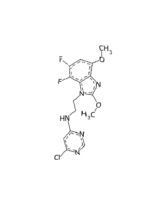 COc1cc(F)c(F)c2c1nc(OC)n2CCNc1cc(Cl)ncn1